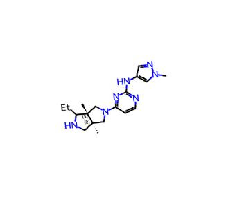 CCC1NC[C@]2(C)CN(c3ccnc(Nc4cnn(C)c4)n3)C[C@@]12C